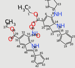 CCOC(=O)c1cc(NC2CCCC2)c2[nH]c(-c3ccccc3)cc2c1.CCOC(=O)c1cc([N+](=O)[O-])c2[nH]c(-c3ccccc3)cc2c1